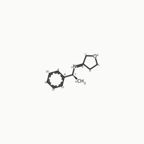 C[C@H](/N=C1\CCOC1)c1ccccc1